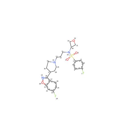 O=S(=O)(c1ccc(F)cc1)N(CCCN1CCC(c2noc3cc(F)ccc23)CC1)C1COC1